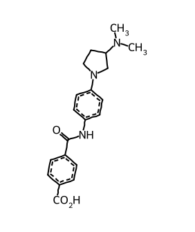 CN(C)C1CCN(c2ccc(NC(=O)c3ccc(C(=O)O)cc3)cc2)C1